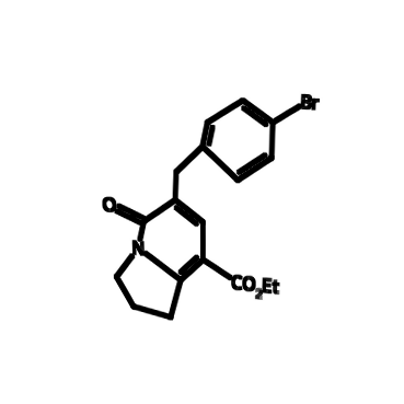 CCOC(=O)c1cc(Cc2ccc(Br)cc2)c(=O)n2c1CCC2